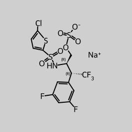 O=S(=O)([O-])OC[C@H](NS(=O)(=O)c1ccc(Cl)s1)[C@@H](c1cc(F)cc(F)c1)C(F)(F)F.[Na+]